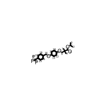 CC(C)OC(=O)C(C)(C)COc1ccc(OCc2ccc(C(F)(F)F)cc2)cc1